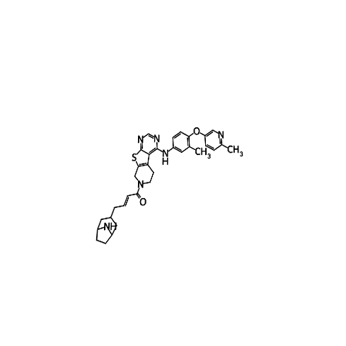 Cc1ccc(Oc2ccc(Nc3ncnc4sc5c(c34)CCN(C(=O)/C=C/CC3CC4CCC(C3)N4)C5)cc2C)cn1